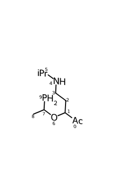 CC(=O)C(CCNC(C)C)OC(C)P